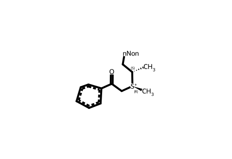 CCCCCCCCCC[C@H](C)[S@@+](C)CC(=O)c1ccccc1